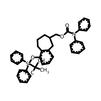 CC(C)(C)[Si](Oc1cccc2c1CCCC(COC(=O)N(c1ccccc1)c1ccccc1)C2)(c1ccccc1)c1ccccc1